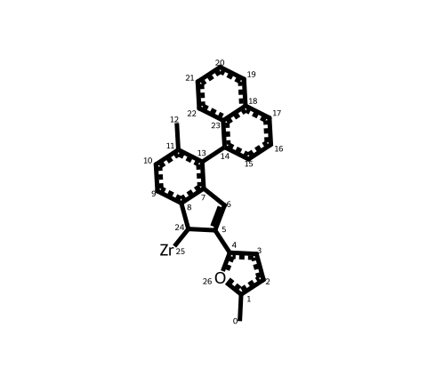 Cc1ccc(C2=Cc3c(ccc(C)c3-c3cccc4ccccc34)[CH]2[Zr])o1